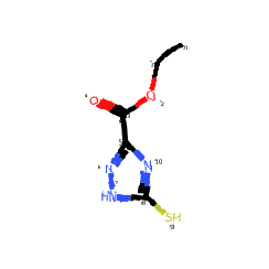 CCOC(=O)c1n[nH]c(S)n1